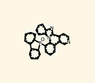 O=P1(c2cccc3c4cnccc4c4nc5ccccc5n4c23)c2ccccc2-c2ccccc21